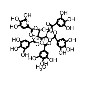 O.O=C[C@H](OC(=O)c1cc(O)c(O)c(O)c1)[C@@H](OC(=O)c1cc(O)c(O)c(O)c1)[C@H](OC(=O)c1cc(O)c(O)c(O)c1)[C@@H](COC(=O)c1cc(O)c(O)c(O)c1)OC(=O)c1cc(O)c(O)c(O)c1